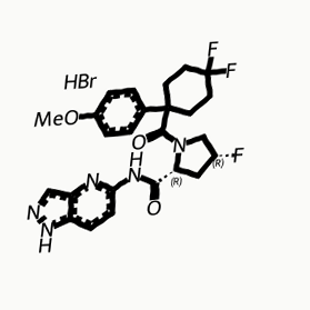 Br.COc1ccc(C2(C(=O)N3C[C@H](F)C[C@@H]3C(=O)Nc3ccc4[nH]ncc4n3)CCC(F)(F)CC2)cc1